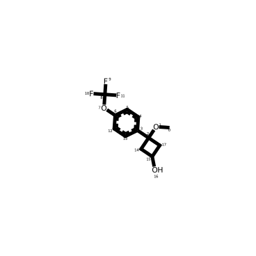 COC1(c2ccc(OC(F)(F)F)cc2)CC(O)C1